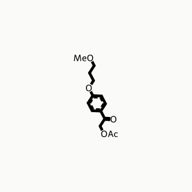 COCCCOc1ccc(C(=O)COC(C)=O)cc1